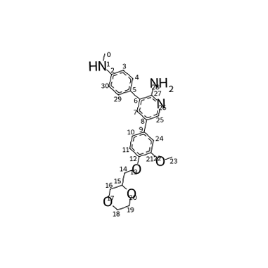 CNc1ccc(-c2cc(-c3ccc(OCC4COCCO4)c(OC)c3)cnc2N)cc1